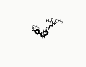 CCN(CC)CCCOc1ccc2ncc(-c3ccc(SC)cc3)n2n1